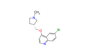 CN1CC[C@@H](COc2ccnc3ccc(Br)cc23)C1